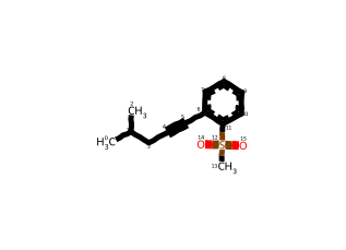 CC(C)CC#Cc1ccccc1S(C)(=O)=O